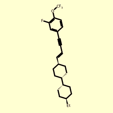 CC[C@H]1CC[C@H]([C@H]2CC[C@H](C=CC#Cc3ccc(OC(F)(F)F)c(F)c3)CC2)CC1